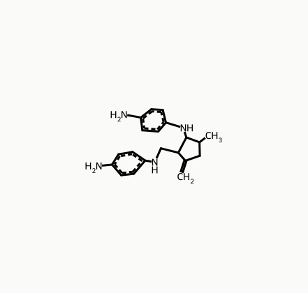 C=C1CC(C)C(Nc2ccc(N)cc2)C1CNc1ccc(N)cc1